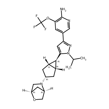 CC(C)n1nc(-c2cnc(N)c(OC(F)(F)F)c2)cc1[C@H]1[C@@H]2C[C@H](N3C[C@H]4C[C@@H]3CO4)C[C@@H]21